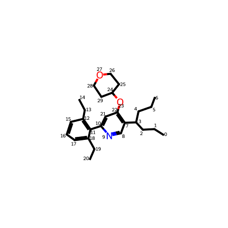 CCCC(CCC)c1cnc(-c2c(CC)cccc2CC)cc1OC1CCOCC1